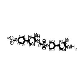 COC(=O)N1CCC(c2cnc(NCS(=O)(=O)N3CCC(c4cnc(N)c(Br)n4)CC3)c(Br)n2)CC1